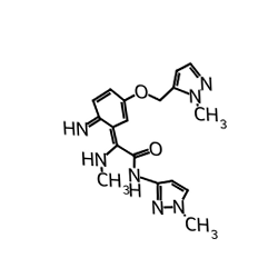 CN/C(C(=O)Nc1ccn(C)n1)=C1/C=C(OCc2ccnn2C)C=CC1=N